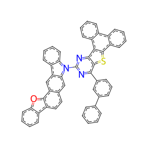 c1ccc(-c2cccc(-c3nc(-n4c5ccccc5c5cc6c(ccc7c8ccccc8oc67)cc54)nc4c3sc3c5ccccc5c5ccccc5c43)c2)cc1